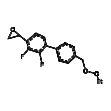 CCOOCc1ccc(-c2ccc(C3CO3)c(F)c2F)cc1